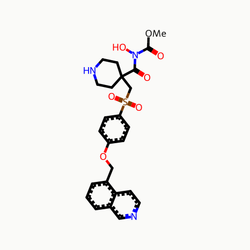 COC(=O)N(O)C(=O)C1(CS(=O)(=O)c2ccc(OCc3cccc4cnccc34)cc2)CCNCC1